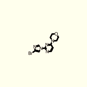 Brc1cn(-c2nccc(N3CCOCC3)n2)cn1